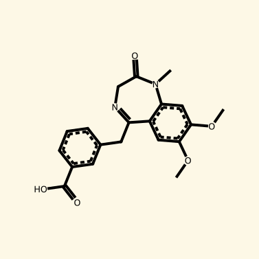 COc1cc2c(cc1OC)N(C)C(=O)CN=C2Cc1cccc(C(=O)O)c1